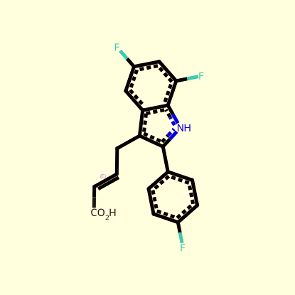 O=C(O)/C=C/Cc1c(-c2ccc(F)cc2)[nH]c2c(F)cc(F)cc12